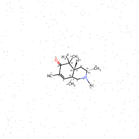 CC(=O)N1C[C@@]2(C)C=C(C#N)C(=O)C(C)(C)[C@@H]2C[C@@H]1C